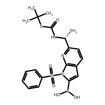 C[C@@H](NC(=O)OC(C)(C)C)c1ccc2cc(B(O)O)n(S(=O)(=O)c3ccccc3)c2n1